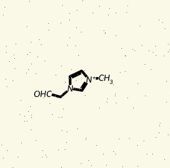 C[n+]1ccn(CC=O)c1